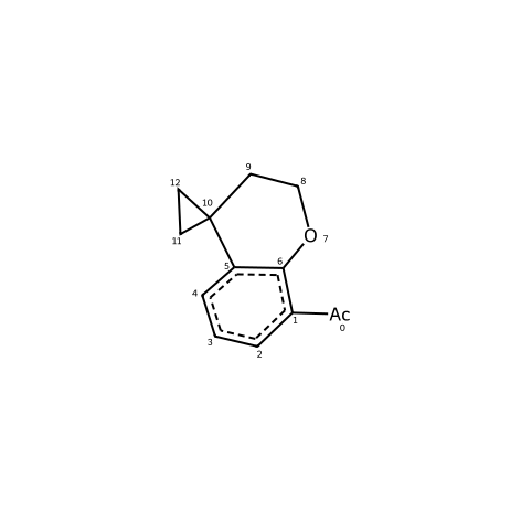 CC(=O)c1cccc2c1OCCC21CC1